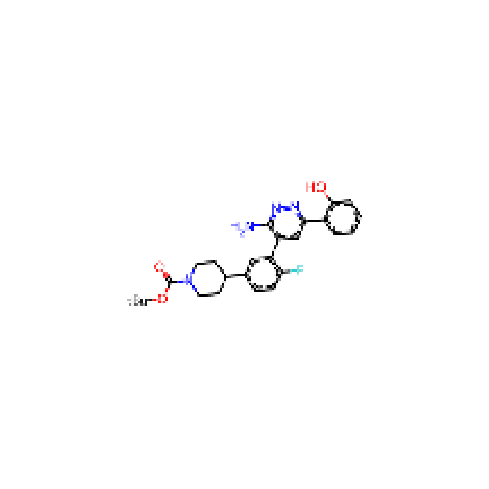 CC(C)(C)OC(=O)N1CCC(c2ccc(F)c(-c3cc(-c4ccccc4O)nnc3N)c2)CC1